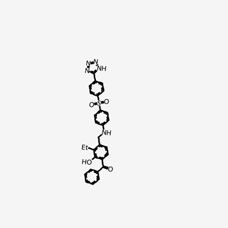 CCc1c(CNc2ccc(S(=O)(=O)c3ccc(-c4nnn[nH]4)cc3)cc2)ccc(C(=O)c2ccccc2)c1O